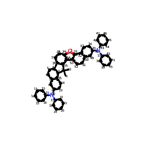 CC1(C)c2c(ccc3cc(N(c4ccccc4)c4ccccc4)ccc23)-c2ccc3oc4c5ccc(N(c6ccccc6)c6ccccc6)cc5ccc4c3c21